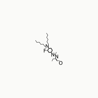 CCCCCCN(CCCCCC)c1ccc(N(C)/C(C)=N\C(=C/C=O)CC)cc1F